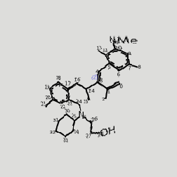 C=C(C)/C(=C\c1cc(C)cc(NC)c1C)C(C)Cc1ccc(C)cc1CN(CCO)C1CCCCC1